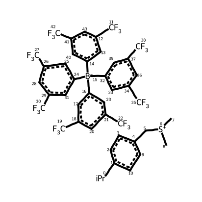 CC(C)c1ccc(C[S+](C)C)cc1.FC(F)(F)c1cc([B-](c2cc(C(F)(F)F)cc(C(F)(F)F)c2)(c2cc(C(F)(F)F)cc(C(F)(F)F)c2)c2cc(C(F)(F)F)cc(C(F)(F)F)c2)cc(C(F)(F)F)c1